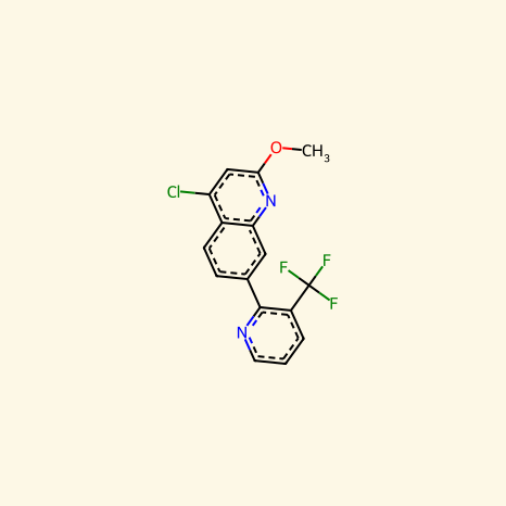 COc1cc(Cl)c2ccc(-c3ncccc3C(F)(F)F)cc2n1